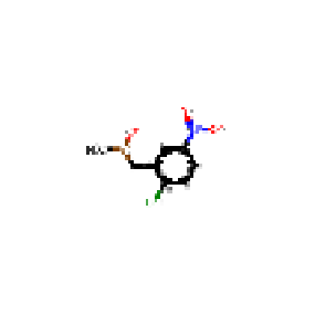 C[S+]([O-])Cc1cc([N+](=O)[O-])ccc1Br